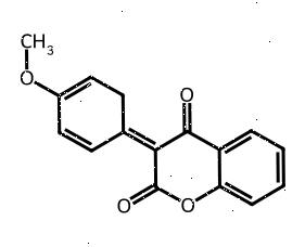 COC1=CCC(=C2C(=O)Oc3ccccc3C2=O)C=C1